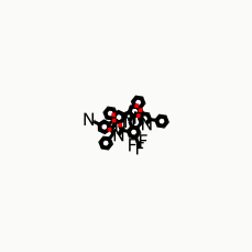 N#Cc1cccc(-c2ccc3c4ccccc4n(-c4c(-c5nc(-c6ccccc6)cc(-c6ccccc6)n5)cc(C(F)(F)F)cc4-c4nc(-c5ccccc5)cc(-c5ccccc5)n4)c3c2)c1